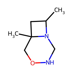 CC1CC2(C)CONCN12